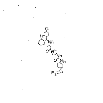 O=C(Nc1ccc(OC(F)(F)F)cc1)NC1CCN(C(=O)CCNc2c3c(nc4cc(Cl)ccc24)CCCC3)CC1